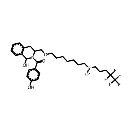 O=C(c1ccc(O)cc1)N1C(COCCCCCCC[S+]([O-])CCCC(F)(F)C(F)(F)F)Cc2ccccc2C1O